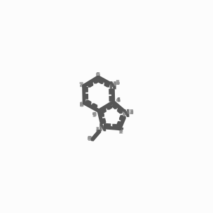 Cn1[c]nc2ncccc21